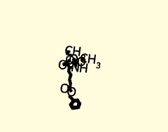 CCOC(=O)C(CCCCC(=O)OCc1ccccc1)NC(=O)OC